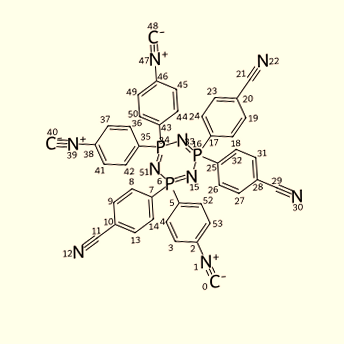 [C-]#[N+]c1ccc(P2(c3ccc(C#N)cc3)=NP(c3ccc(C#N)cc3)(c3ccc(C#N)cc3)=NP(c3ccc([N+]#[C-])cc3)(c3ccc([N+]#[C-])cc3)=N2)cc1